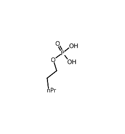 CCCCCOP(=O)(O)O